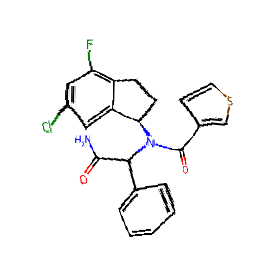 NC(=O)C(c1ccccc1)N(C(=O)c1ccsc1)[C@@H]1CCc2c(F)cc(Cl)cc21